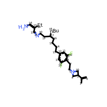 C=C(C)C1CN(CCc2c(F)cc(CCCCC(CCCC)CC/N=C\C(=C/N)CC)cc2F)C1